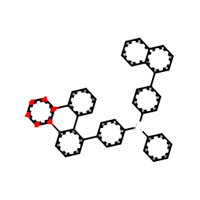 c1ccc(-c2ccccc2-c2c(-c3ccccc3)cccc2-c2ccc(N(c3ccccc3)c3ccc(-c4cccc5ccccc45)cc3)cc2)cc1